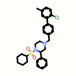 Cc1ccc(Cl)c(-c2ccc(CN3CCN(S(=O)(=O)C4CCCCC4)C(c4ccccc4)C3)cc2)c1